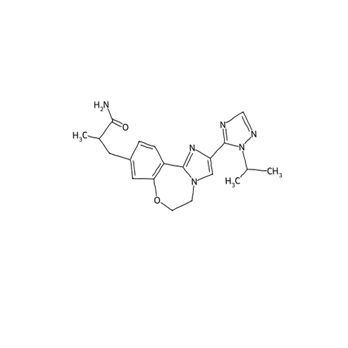 CC(Cc1ccc2c(c1)OCCn1cc(-c3ncnn3C(C)C)nc1-2)C(N)=O